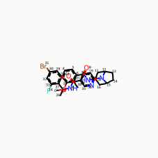 COc1cccc(C(=O)NC2CC3CCC(C2)N3c2ccc(C(=O)NC(C)c3ccc(Br)cc3F)cn2)c1C